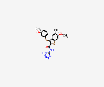 COc1cccc(Sc2c(C(=O)Nc3nnn[nH]3)sc3cc(OC)c(C)cc23)c1